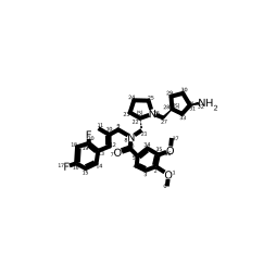 COc1ccc(C(=O)N(CC(C)=Cc2ccc(F)cc2F)C[C@@H]2CCCN2C[C@H]2CC[C@@H](N)C2)cc1OC